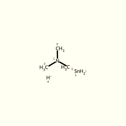 CN(C)C.[H-].[SnH2]